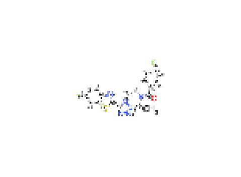 CC1c2nnc(-c3nc4ccc(F)cc4s3)n2CCN1C(=O)c1ccc(F)cc1